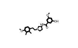 COc1cc(O)cc(C(=O)NC2CCN(CCc3ccc(OC)c(C)c3C)C2)c1